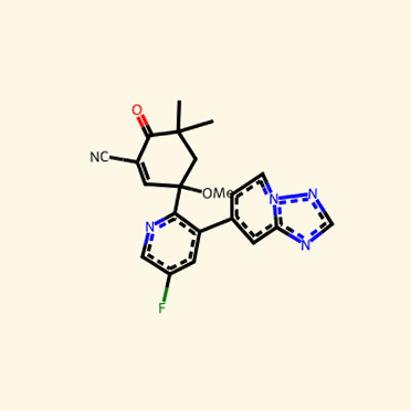 COC1(c2ncc(F)cc2-c2ccn3ncnc3c2)C=C(C#N)C(=O)C(C)(C)C1